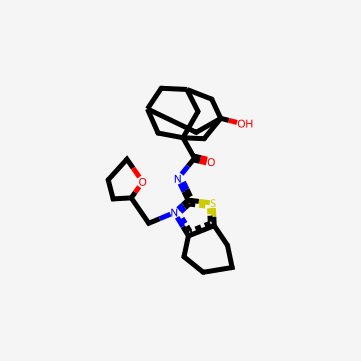 O=C(N=c1sc2c(n1CC1CCCO1)CCCC2)C12CC3CC(CC(O)(C3)C1)C2